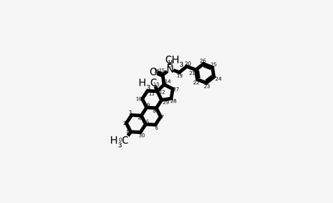 CC1CCC2C(CCC3C2CCC2(C)C(C(=O)N(C)CCc4ccccc4)CCC32)C1